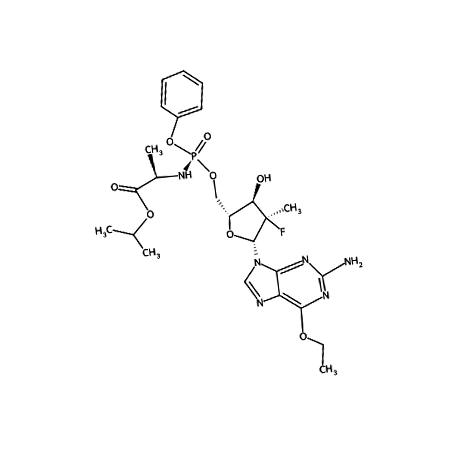 CCOc1nc(N)nc2c1ncn2[C@@H]1O[C@H](CO[P@](=O)(N[C@H](C)C(=O)OC(C)C)Oc2ccccc2)[C@@H](O)[C@@]1(C)F